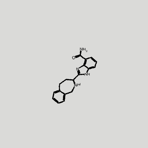 NC(=O)c1cccc2[nH]c(C3CCc4ccccc4CN3)nc12